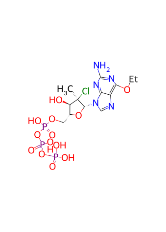 CCOc1nc(N)nc2c1ncn2[C@@H]1O[C@H](COP(=O)(O)OP(=O)(O)OP(=O)(O)O)[C@@H](O)[C@@]1(C)Cl